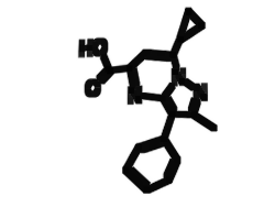 Cc1nn2c(C3CC3)cc(C(=O)O)nc2c1-c1ccccc1